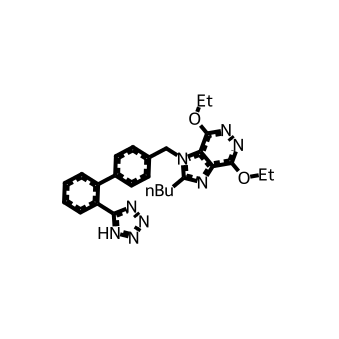 CCCCc1nc2c(OCC)nnc(OCC)c2n1Cc1ccc(-c2ccccc2-c2nnn[nH]2)cc1